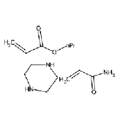 C1CNCCN1.C=CC(=O)OCCC.C=CC(N)=O